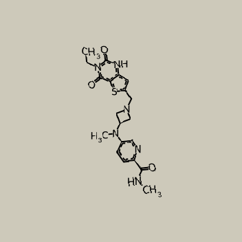 CCn1c(=O)[nH]c2cc(CN3CC(N(C)c4ccc(C(=O)NC)nc4)C3)sc2c1=O